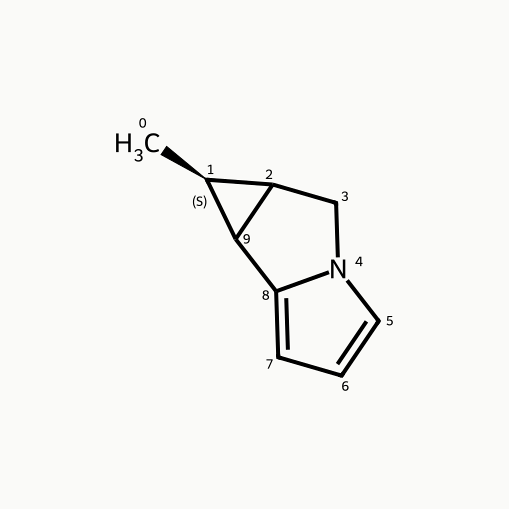 C[C@H]1C2Cn3cccc3C21